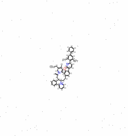 C=C1CC2c3ccccc3-c3cccc[n+]3C2CCc2ccc3c(oc4nc(-c5c(C(C)C)cc(-c6ccccc6)cc5C(C)C)ccc43)c2-c2cc(C)c(CC(C)(C)C)c[n+]21